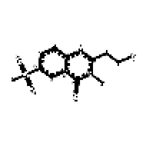 Cn1c(CCBr)nc2ccc(S(C)(=O)=O)cc2c1=O